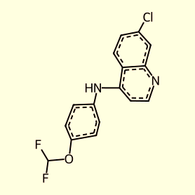 FC(F)Oc1ccc(Nc2ccnc3cc(Cl)ccc23)cc1